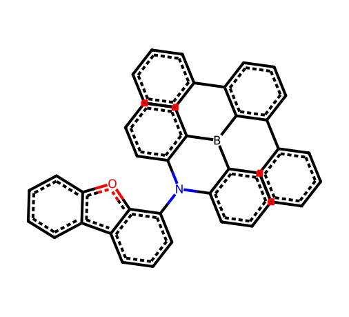 c1ccc(-c2cccc(-c3ccccc3)c2B2c3ccccc3N(c3cccc4c3oc3ccccc34)c3ccccc32)cc1